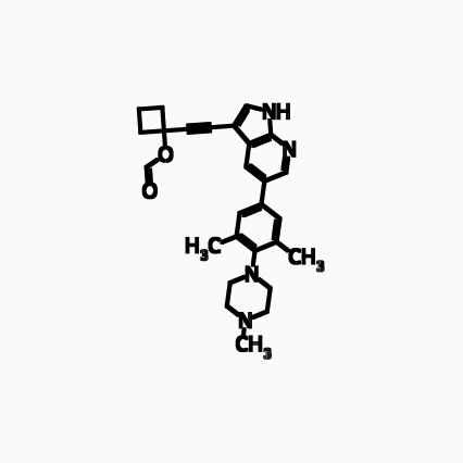 Cc1cc(-c2cnc3[nH]cc(C#CC4(OC=O)CCC4)c3c2)cc(C)c1N1CCN(C)CC1